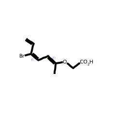 C=C/C(Br)=C\C=C(/C)OCC(=O)O